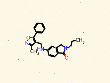 CCCN1Cc2cc(NCc3c(C)noc3-c3ccccc3)ccc2C1=O